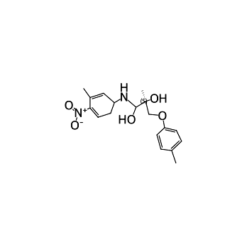 CC1=CC(NC(O)[C@@](C)(O)COc2ccc(C)cc2)CC=C1[N+](=O)[O-]